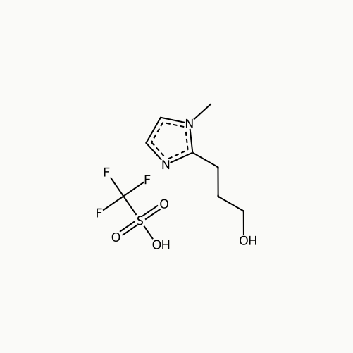 Cn1ccnc1CCCO.O=S(=O)(O)C(F)(F)F